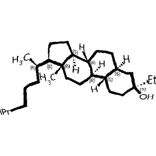 CC[C@]1(O)CC[C@H]2[C@@H](CC[C@@H]3[C@@H]2CC[C@]2(C)[C@@H]([C@H](C)CCCC(C)C)CC[C@@H]32)C1